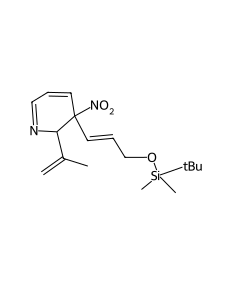 C=C(C)C1N=CC=CC1(C=CCO[Si](C)(C)C(C)(C)C)[N+](=O)[O-]